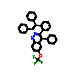 FC(F)(F)Oc1ccc2nnc(-c3ccccc3C(=Cc3ccccc3)c3ccccc3)c(-c3ccccc3)c2c1